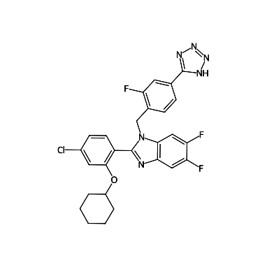 Fc1cc2nc(-c3ccc(Cl)cc3OC3CCCCC3)n(Cc3ccc(-c4nnn[nH]4)cc3F)c2cc1F